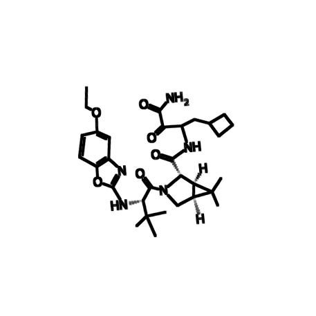 CCOc1ccc2oc(N[C@H](C(=O)N3C[C@H]4[C@@H]([C@H]3C(=O)NC(CC3CCC3)C(=O)C(N)=O)C4(C)C)C(C)(C)C)nc2c1